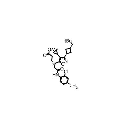 COC(=O)CC[C@@H](CC(=O)Nc1ccc(C)cc1Cl)c1onc([C@H]2C[C@@H](CC(C)(C)C)C2)c1C1CC1